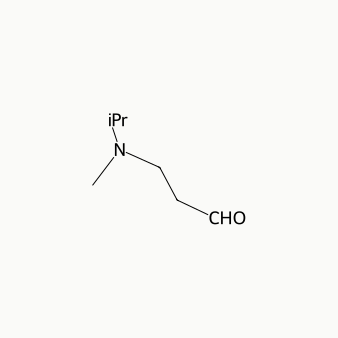 CC(C)N(C)CCC=O